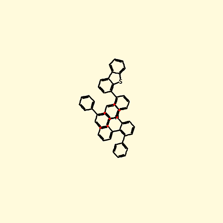 c1ccc(-c2cccc(N(c3cccc(-c4cccc5c4sc4ccccc45)c3)c3cccc(-c4ccccc4)c3-c3ccccc3-c3ccccc3)c2)cc1